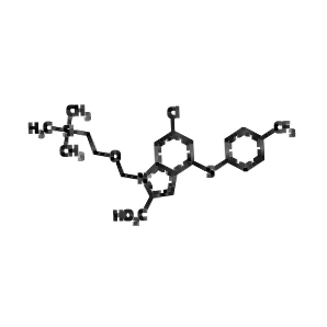 C[Si](C)(C)CCOCn1c(C(=O)O)cc2c(Sc3ccc(C(F)(F)F)cc3)cc(Cl)cc21